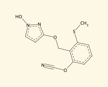 CSc1cccc(OC#N)c1COc1ccn(O)n1